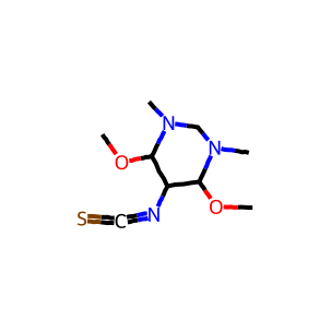 COC1C(N=C=S)C(OC)N(C)CN1C